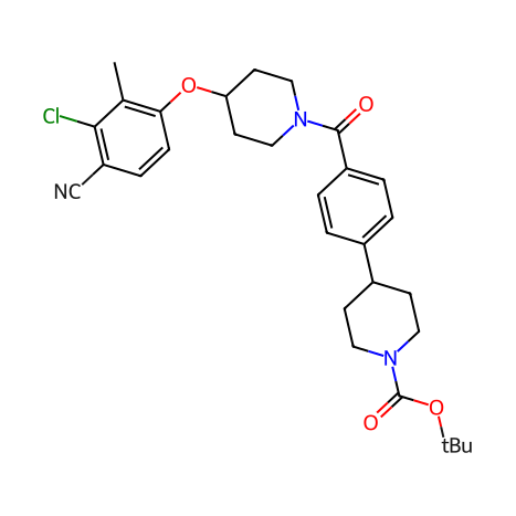 Cc1c(OC2CCN(C(=O)c3ccc(C4CCN(C(=O)OC(C)(C)C)CC4)cc3)CC2)ccc(C#N)c1Cl